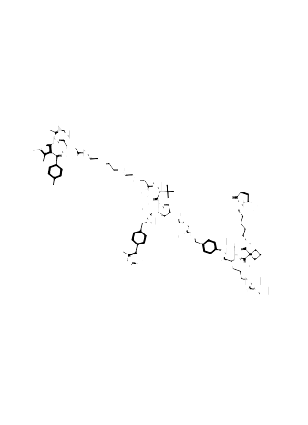 Cc1ccc(C2=N[C@@H](CC(=O)NCCOCCOCCOCC(=O)N[C@H](C(=O)N3C[C@H](OCNC(=O)OCc4ccc(NC(=O)[C@H](CCCNC(N)=O)NC(=O)C5(C(=O)NCCCCCN6C(=O)C=CC6=O)CCC5)cc4)C[C@H]3C(=O)NCc3ccc(-c4scnc4C)cc3)C(C)(C)C)c3nnc(C)n3-c3sc(C)c(C)c32)cc1